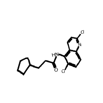 O=C(CCC1CCCC1)Nc1c(Cl)ccc2nc(Cl)ccc12